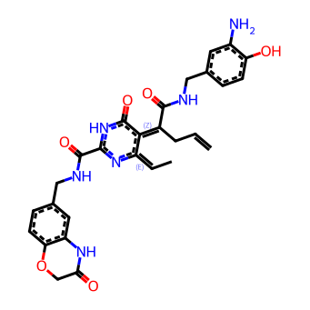 C=CC/C(C(=O)NCc1ccc(O)c(N)c1)=c1/c(=O)[nH]c(C(=O)NCc2ccc3c(c2)NC(=O)CO3)n/c1=C/C